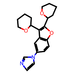 c1cn(-c2ccc3oc(C4CCCCO4)c(C4CCCCO4)c3c2)cn1